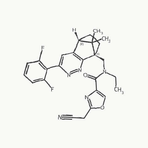 CCN(C[C@@]12CC[C@@H](c3cc(-c4c(F)cccc4F)nnc31)C2(C)C)C(=O)c1coc(CC#N)n1